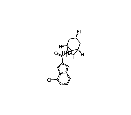 CC[C@H]1C[C@@H]2CN(C(=O)c3cc4c(Cl)cccc4s3)[C@H](C1)[C@@H]2C